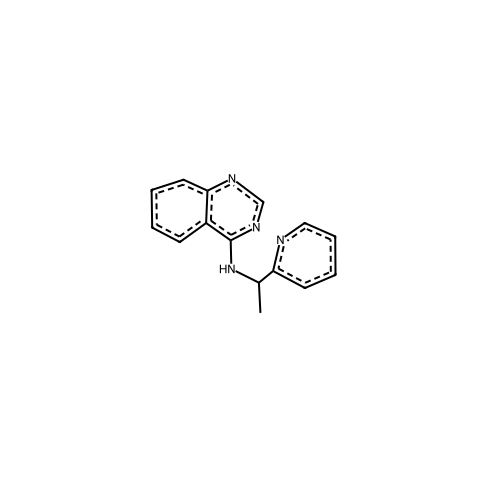 CC(Nc1ncnc2ccccc12)c1ccccn1